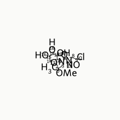 COC(C)CN(C(=O)N(CCCl)N=O)C1OC[C@H](O)[C@H](O)[C@H]1O